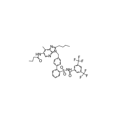 CCCCc1nc2c(C)c(NC(=O)CCC)cnc2n1Cc1ccc(-c2ccccc2S(=O)(=O)NC(=O)c2cc(C(F)(F)F)cc(C(F)(F)F)c2)cc1